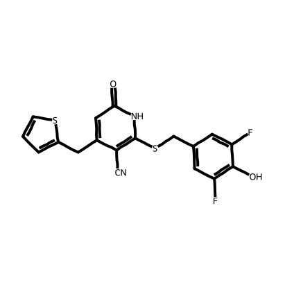 N#Cc1c(Cc2cccs2)cc(=O)[nH]c1SCc1cc(F)c(O)c(F)c1